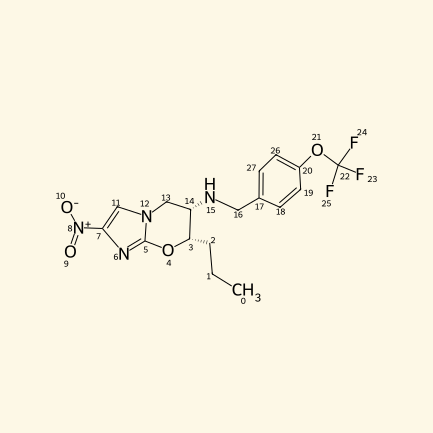 CCC[C@@H]1Oc2nc([N+](=O)[O-])cn2C[C@@H]1NCc1ccc(OC(F)(F)F)cc1